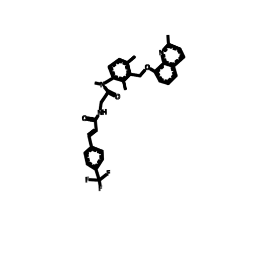 Cc1ccc2cccc(OCc3c(C)ccc(N(C)C(=O)CNC(=O)/C=C/c4ccc(C(F)(F)F)cc4)c3C)c2n1